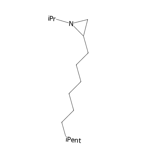 CCCC(C)CCCCCCC1CN1C(C)C